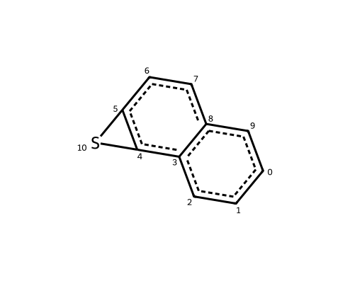 c1ccc2c3c(ccc2c1)S3